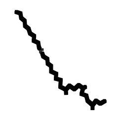 CCCCCCCCCCCCCCCCCCCCCC(C)CCCC(C)CCCC(C)CCC